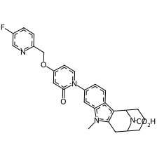 Cn1c2c(c3ccc(-n4ccc(OCc5ccc(F)cn5)cc4=O)cc31)C1CCCC(C2)N1C(=O)O